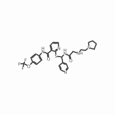 O=C(CNCCN1CCCC1)NC(Sc1ncccc1C(=O)Nc1ccc(OC(F)(F)F)cc1)c1ccncc1